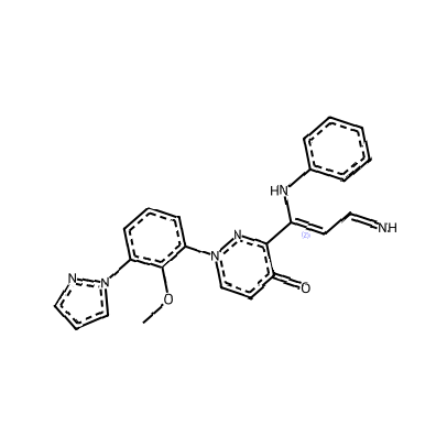 COc1c(-n2cccn2)cccc1-n1ccc(=O)c(/C(=C/C=N)Nc2ccccc2)n1